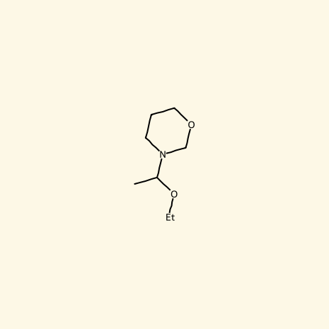 CCOC(C)N1CCCOC1